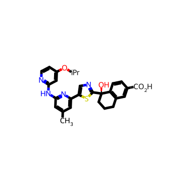 Cc1cc(Nc2cc(OC(C)C)ccn2)nc(-c2cnc([C@@]3(O)CCCc4cc(C(=O)O)ccc43)s2)c1